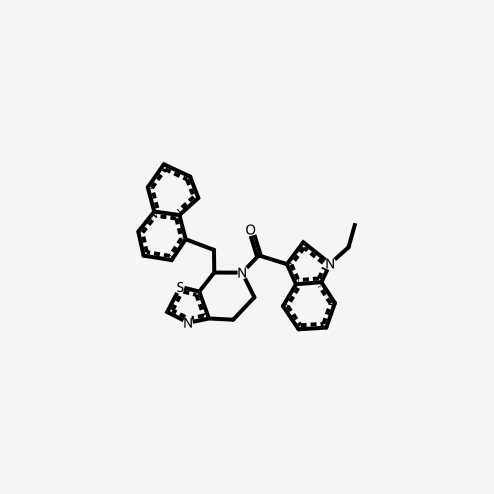 CCn1cc(C(=O)N2CCc3ncsc3C2Cc2cccc3ccccc23)c2ccccc21